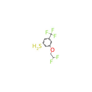 FC(F)COc1cccc(C(F)(F)F)c1.S